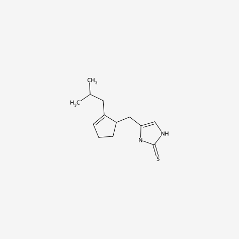 CC(C)CC1=CCCC1CC1=CNC(=S)[N]1